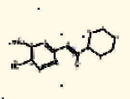 COc1cc(/C=[N+](\[O-])C2CCCCC2)ccc1O